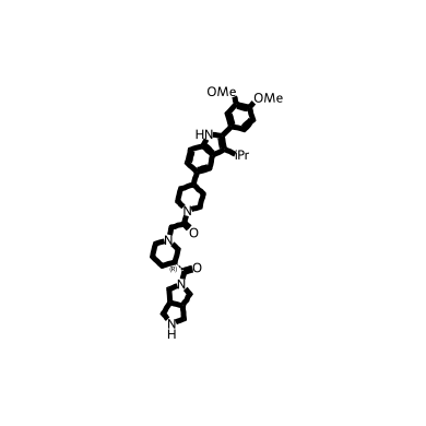 COc1ccc(-c2[nH]c3ccc(C4CCN(C(=O)CN5CCC[C@@H](C(=O)N6CC7CNCC7C6)C5)CC4)cc3c2C(C)C)cc1OC